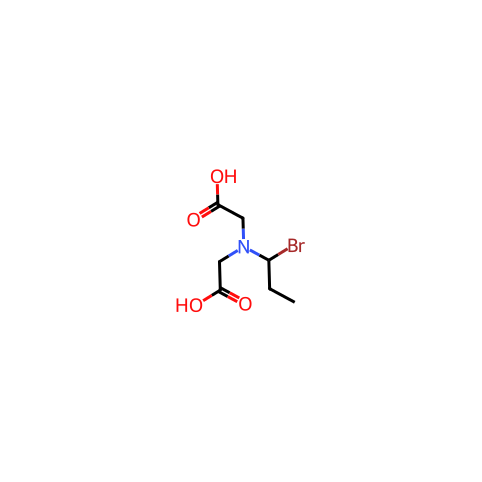 CCC(Br)N(CC(=O)O)CC(=O)O